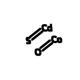 [O]=[Co].[S]=[Cd]